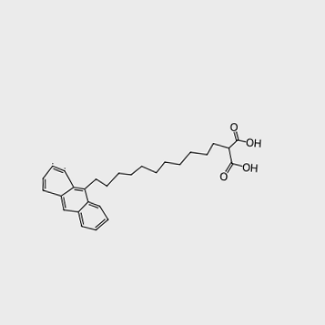 O=C(O)C(CCCCCCCCCCCc1c2[c][c]ccc2cc2ccccc12)C(=O)O